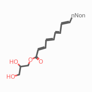 CCCCCCCCC/C=C/C=C/C=C/C=C/C(=O)OCC(O)CO